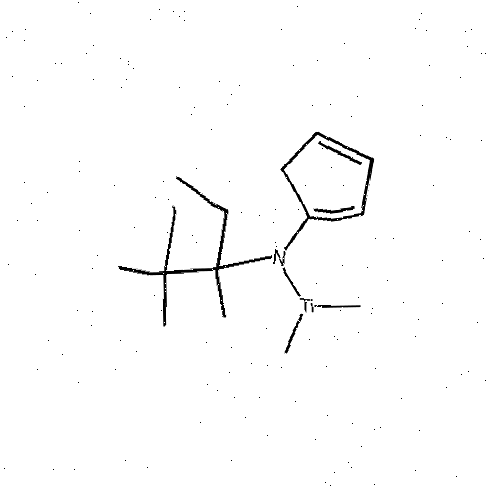 CCC(C)([N](C1=CC=CC1)[Ti]([CH3])[CH3])C(C)(C)C